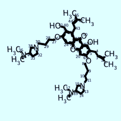 CC(C)=CCc1c(OCCCCN2CC[C@@H](N(C)C)C2)cc2oc3cc(OCCCCN4CC[C@@H](N(C)C)C4)c(CO)c(CC=C(C)C)c3c(=O)c2c1O